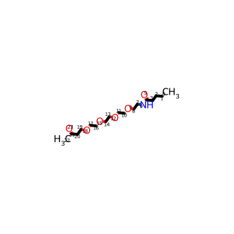 CCCCC(=O)NCCOCCOCCOCCOCCC(C)=O